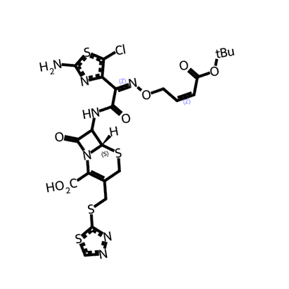 CC(C)(C)OC(=O)/C=C\CO/N=C(\C(=O)NC1C(=O)N2C(C(=O)O)=C(CSc3nncs3)CS[C@@H]12)c1nc(N)sc1Cl